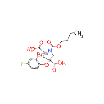 CCCCOC(=O)N1C[C@@](Oc2ccc(F)cc2Br)(C(=O)O)C[C@H]1C(=O)O